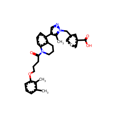 Cc1cccc(OCCCC(=O)N2CCCc3c(-c4cnn(Cc5cccc(C(=O)O)c5)c4C)cccc32)c1C